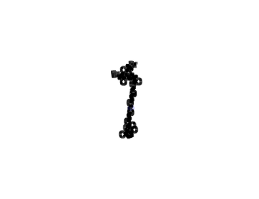 CC(C)(Br)C(=O)OCC(C)(COC(=O)C(C)(C)Br)C(=O)OCCOCCO/C=C/OCCOC(=O)ON1C(=O)CCC1=O